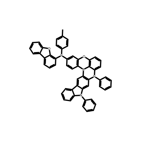 Cc1ccc(N(c2ccc3c(c2)Oc2cccc4c2B3c2cc3c5ccccc5n(-c5ccccc5)c3cc2N4c2ccccc2)c2cccc3c2oc2ccccc23)cc1